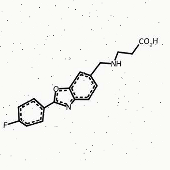 O=C(O)CCNCc1ccc2nc(-c3ccc(F)cc3)oc2c1